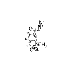 CN1c2cc(C(=O)C=[N+]=[N-])ccc2CS1(=O)=O